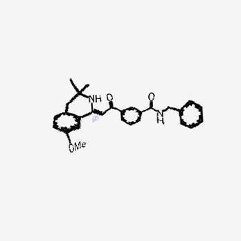 COc1ccc2c(c1)/C(=C/C(=O)c1cccc(C(=O)NCc3ccccc3)c1)NC(C)(C)C2